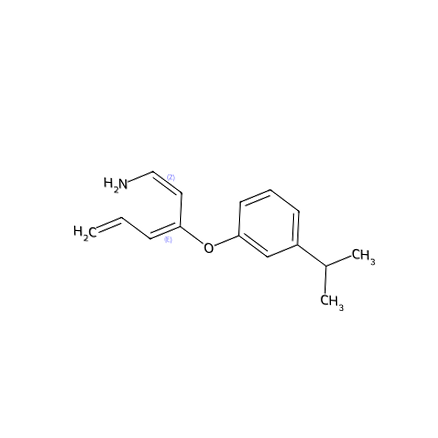 C=C/C=C(\C=C/N)Oc1cccc(C(C)C)c1